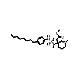 CCCCCCCCc1ccc(NS(=O)(=O)N(C)C2(CC(=O)OC)CCCN(C)C2)cc1